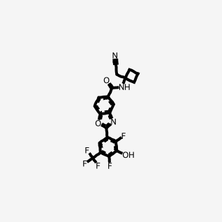 N#CCC1(NC(=O)c2ccc3oc(-c4cc(C(F)(F)F)c(F)c(O)c4F)nc3c2)CCC1